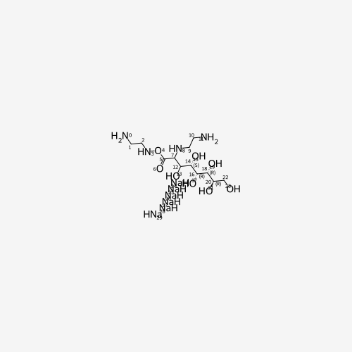 NCCNOC(=O)C(NCCN)C(O)[C@H](O)[C@@H](O)[C@H](O)[C@H](O)CO.[NaH].[NaH].[NaH].[NaH].[NaH].[NaH]